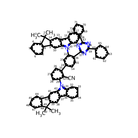 CC1(C)c2ccccc2-c2cc3c(cc21)c1ccccc1n3-c1cc(-c2cccc(-n3c4ccccc4c4cc5c(cc43)-c3ccccc3C5(C)C)c2C#N)ccc1-c1nc(-c2ccccc2)nc(-c2ccccc2)n1